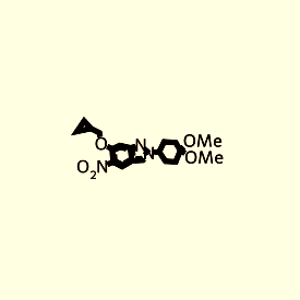 COC1(OC)CCC(n2cc3cc([N+](=O)[O-])c(OCC4CC4)cc3n2)CC1